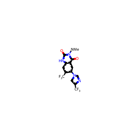 CNn1c(=O)[nH]c2cc(C(F)(F)F)c(-n3cnc(C(F)(F)F)c3)cc2c1=O